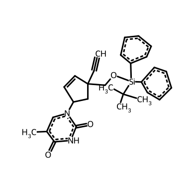 C#CC1(CO[Si](c2ccccc2)(c2ccccc2)C(C)(C)C)C=CC(n2cc(C)c(=O)[nH]c2=O)C1